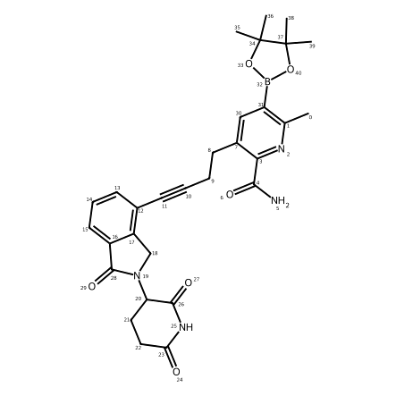 Cc1nc(C(N)=O)c(CCC#Cc2cccc3c2CN(C2CCC(=O)NC2=O)C3=O)cc1B1OC(C)(C)C(C)(C)O1